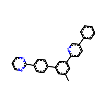 Cc1cc(-c2ccc(-c3ncccn3)cc2)cc(-c2ccc(-c3ccccc3)cn2)c1